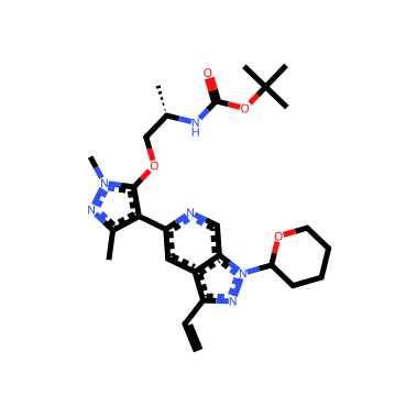 C=Cc1nn(C2CCCCO2)c2cnc(-c3c(C)nn(C)c3OC[C@H](C)NC(=O)OC(C)(C)C)cc12